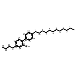 CCCCCCCCCCCCc1ccc(-c2ccc(CCCC)cc2F)cc1